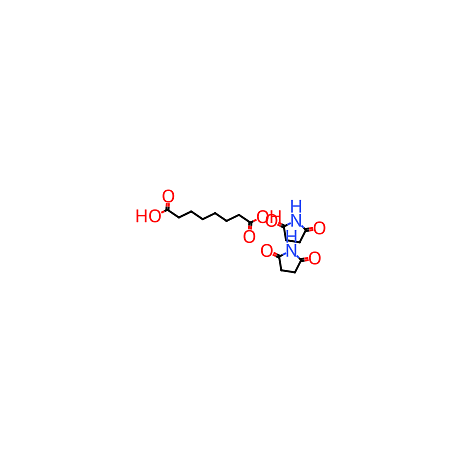 O=C(O)CCCCCCC(=O)O.O=C1CCC(=O)N1.O=C1CCC(=O)N1